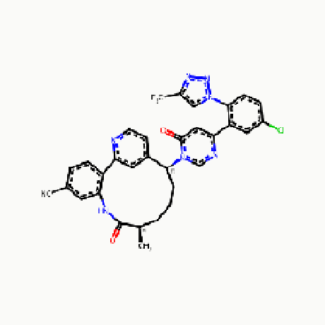 C[C@@H]1CCC[C@H](n2cnc(-c3cc(Cl)ccc3-n3cc(C(F)(F)F)nn3)cc2=O)c2ccnc(c2)-c2ccc(C#N)cc2NC1=O